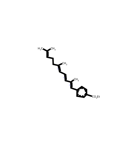 CCOC(=O)c1ccc(/C=C(C)/C=C/C=C(\C)CCC=C(C)C)cc1